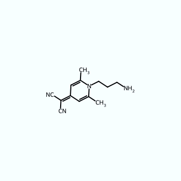 CC1=CC(=C(C#N)C#N)C=C(C)N1CCCN